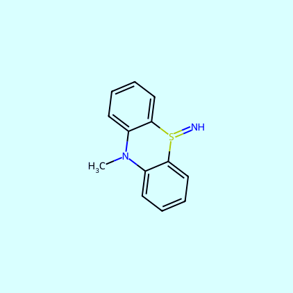 CN1c2ccccc2S(=N)c2ccccc21